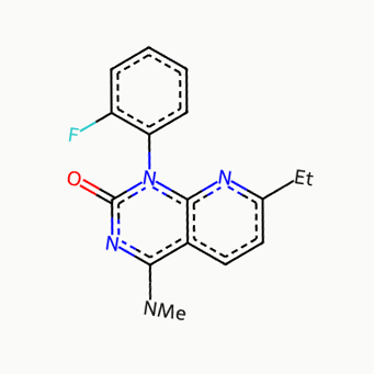 CCc1ccc2c(NC)nc(=O)n(-c3ccccc3F)c2n1